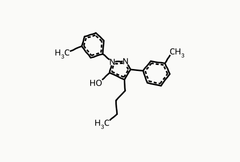 CCCCc1c(-c2cccc(C)c2)nn(-c2cccc(C)c2)c1O